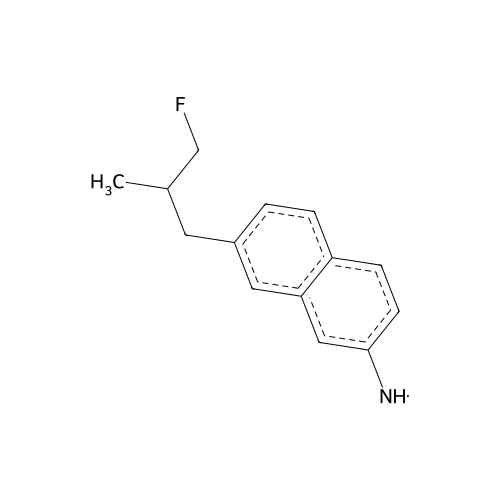 CC(CF)Cc1ccc2ccc([NH])cc2c1